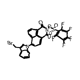 O=C1c2cccc3c(-n4cc(CBr)c5ccccc54)ccc(c23)C(=O)N1OS(=O)(=O)c1c(F)c(F)c(F)c(F)c1F